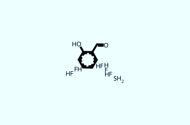 F.F.F.F.F.O=Cc1ccccc1O.S